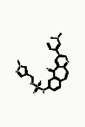 C=C/C(=C\N(C)C)c1cnc2ccc3ccc(NS(=O)(=O)NCc4cnn(C)c4)cc3c(=O)c2c1